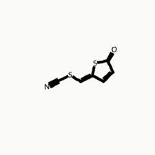 N#CSC=C1C=CC(=O)S1